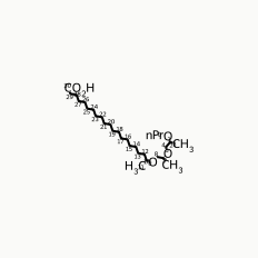 C[CH]COC(C)COC(C)COC(C)CCCCCCCCCCCCCCCCCCC(=O)O